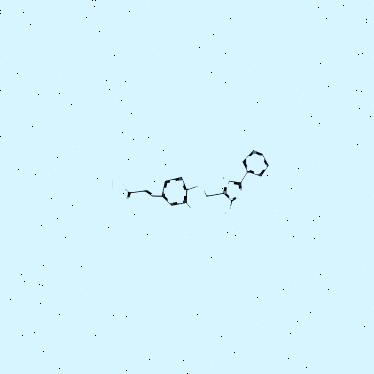 Cc1oc(-c2ccccc2)nc1COc1ccc(C=CC(=O)O)cc1F